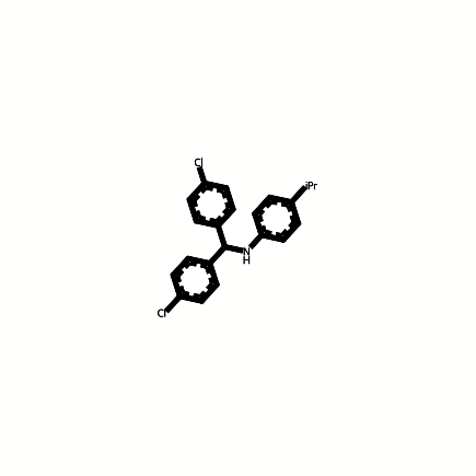 CC(C)c1ccc(NC(c2ccc(Cl)cc2)c2ccc(Cl)cc2)cc1